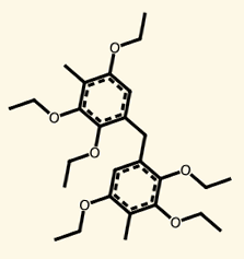 CCOc1cc(Cc2cc(OCC)c(C)c(OCC)c2OCC)c(OCC)c(OCC)c1C